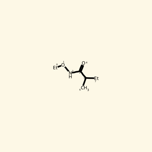 CCONC(=O)C(C)CC